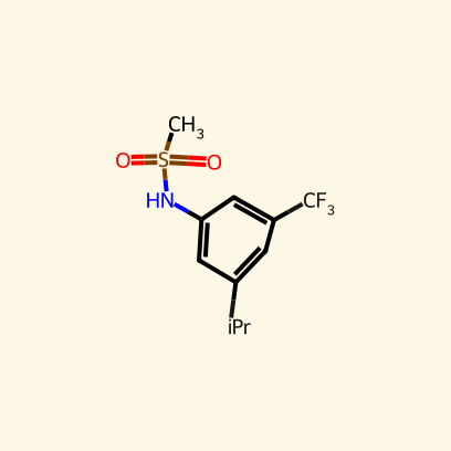 CC(C)c1cc(NS(C)(=O)=O)cc(C(F)(F)F)c1